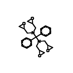 c1ccc(C(c2ccccc2)(N(CC2CO2)CC2CO2)N(CC2CO2)CC2CO2)cc1